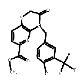 COC(=O)c1ccc2c(n1)N(Cc1ccc(Cl)c(C(F)(F)F)c1)C(=O)CS2